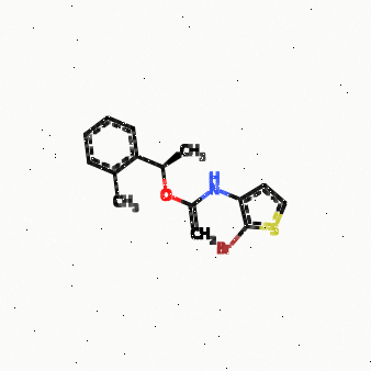 C=C(Nc1ccsc1Br)O[C@H](C)c1ccccc1C